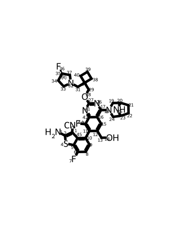 N#Cc1c(N)sc2c(F)ccc(-c3c(CO)cc4c(N5CC6CCC(C5)N6)nc(OCC5(CN6CC[C@@H](F)C6)CCC5)nc4c3F)c12